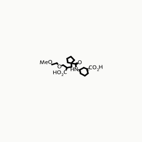 COCCOCC(CC1(C(=O)N[C@H]2CCC[C@@H](C(=O)O)C2)CCCC1)C(=O)O